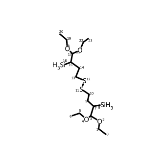 CCOC(OCC)C([SiH3])CCSSCCC([SiH3])C(OCC)OCC